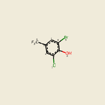 Oc1c(Cl)cc(C(F)(F)F)cc1Br